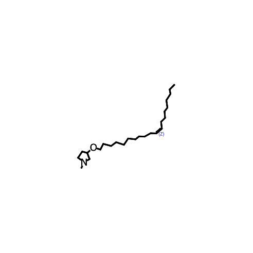 CCCCCCCC/C=C\CCCCCCCCCCOC1CCN(C)C1